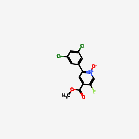 COC(=O)c1cc(-c2cc(Cl)cc(Cl)c2)[n+]([O-])cc1F